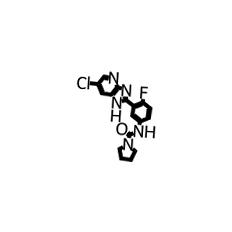 O=C(Nc1ccc(F)c(-c2nc3ncc(Cl)cc3[nH]2)c1)N1CCCC1